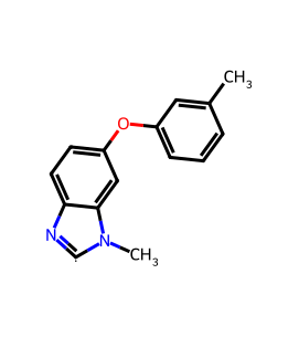 Cc1cccc(Oc2ccc3n[c]n(C)c3c2)c1